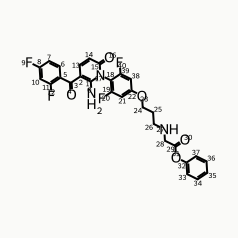 Nc1c(C(=O)c2ccc(F)cc2F)ccc(=O)n1-c1c(F)cc(OCCCNCC(=O)Oc2ccccc2)cc1F